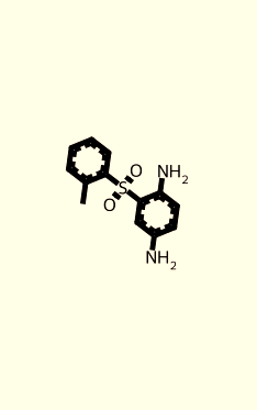 Cc1ccccc1S(=O)(=O)c1cc(N)ccc1N